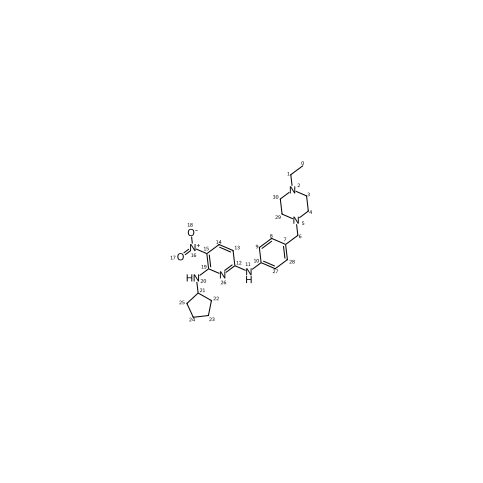 CCN1CCN(Cc2ccc(Nc3ccc([N+](=O)[O-])c(NC4CCCC4)n3)cc2)CC1